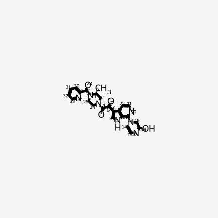 C[C@@H]1CN(C(=O)C(=O)c2c[nH]c3c(N4C=CN=C(O)C4)nccc23)CCN1C(=O)c1ccccn1